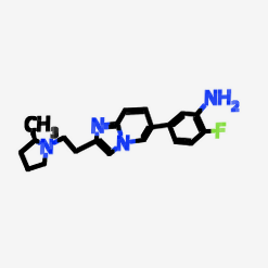 C[C@@H]1CCCN1CCc1cn2cc(-c3ccc(F)c(N)c3)ccc2n1